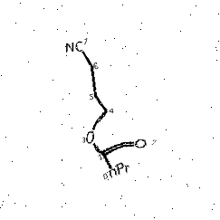 [CH2]CCC(=O)OCCCC#N